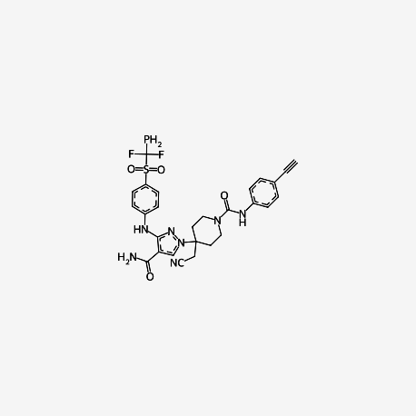 C#Cc1ccc(NC(=O)N2CCC(CC#N)(n3cc(C(N)=O)c(Nc4ccc(S(=O)(=O)C(F)(F)P)cc4)n3)CC2)cc1